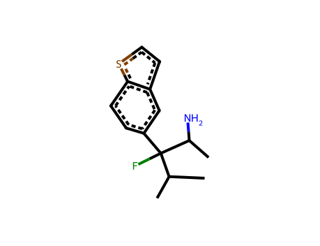 CC(C)C(F)(c1ccc2sccc2c1)C(C)N